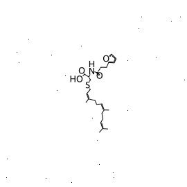 CC(C)=CCCC(C)=CCCC(C)=CCSC[C@H](NC(=O)CCc1ccco1)C(=O)O